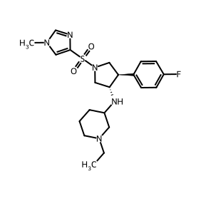 CCN1CCCC(N[C@@H]2CN(S(=O)(=O)c3cn(C)cn3)C[C@H]2c2ccc(F)cc2)C1